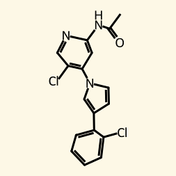 CC(=O)Nc1cc(-n2ccc(-c3ccccc3Cl)c2)c(Cl)cn1